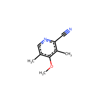 COc1c(C)cnc(C#N)c1C